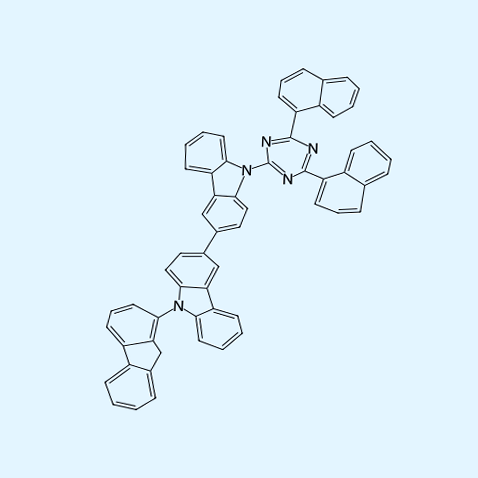 c1ccc2c(c1)Cc1c-2cccc1-n1c2ccccc2c2cc(-c3ccc4c(c3)c3ccccc3n4-c3nc(-c4cccc5ccccc45)nc(-c4cccc5ccccc45)n3)ccc21